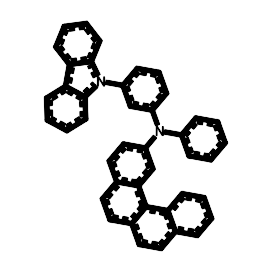 c1ccc(N(c2cccc(-n3c4ccccc4c4ccccc43)c2)c2ccc3ccc4ccc5ccccc5c4c3c2)cc1